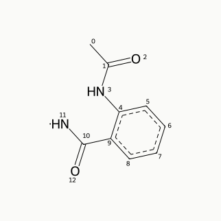 CC(=O)Nc1ccccc1C([NH])=O